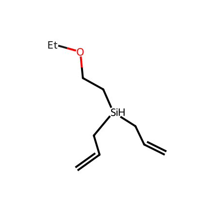 C=CC[SiH](CC=C)CCOCC